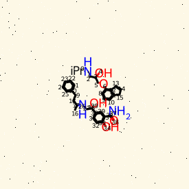 CC(C)NCC(O)COc1cccc2c1C=CC2.CC(CCc1ccccc1)NCC(O)c1ccc(O)c(C(N)=O)c1